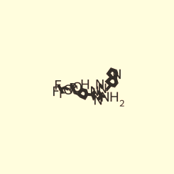 CP(=O)(Cc1ccc(-c2cnc(N)c(N(N)Cc3ccc4ncccc4c3)n2)cc1)OCC(F)(F)F